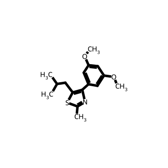 COc1cc(OC)cc(-c2nc(C)sc2CC(C)C)c1